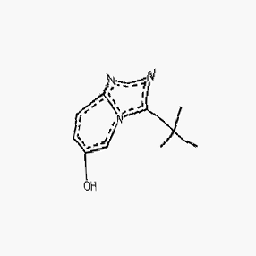 CC(C)(C)c1nnc2ccc(O)cn12